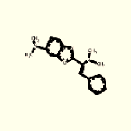 CN(C)C(=Cc1ccccc1)c1nc2ccc(N(C)C)cc2o1